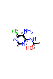 CC(O)Nc1ncnc(Cl)c1N